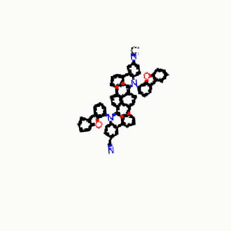 [C-]#[N+]c1ccc(N(c2ccc3ccc4c(N(c5ccc(C#N)cc5-c5ccccc5)c5cccc6c5oc5ccccc56)ccc5ccc2c3c54)c2cccc3c2oc2ccccc23)c(-c2ccccc2)c1